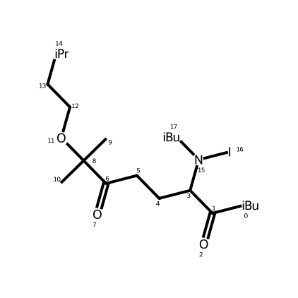 CCC(C)C(=O)C(CCC(=O)C(C)(C)OCCC(C)C)N(I)C(C)CC